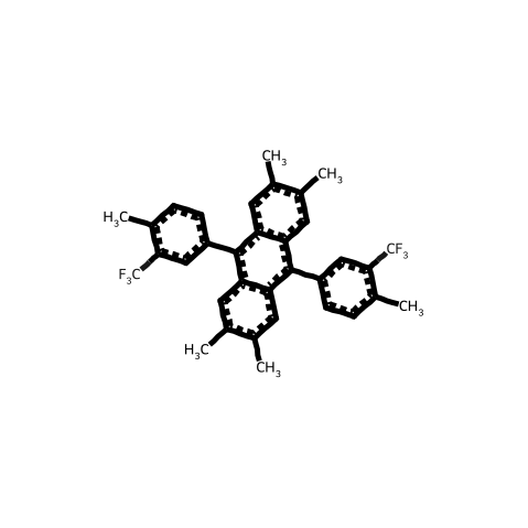 Cc1cc2c(-c3ccc(C)c(C(F)(F)F)c3)c3cc(C)c(C)cc3c(-c3ccc(C)c(C(F)(F)F)c3)c2cc1C